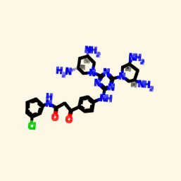 N[C@@H]1C[C@H](N)CN(c2nc(Nc3ccc(C(=O)CC(=O)Nc4cccc(Cl)c4)cc3)nc(N3C[C@H](N)C[C@H](N)C3)n2)C1